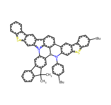 CC(C)(C)c1ccc(N2B3c4cc5c(cc4-n4c6cc7sc8ccccc8c7cc6c6ccc(c3c64)-c3cc4c(cc32)sc2cc(C(C)(C)C)ccc24)-c2ccccc2C5(C)C)cc1